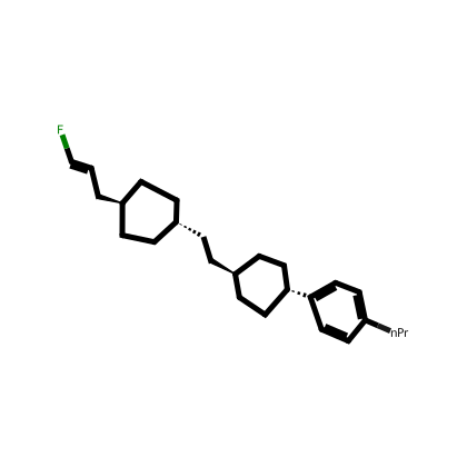 CCCc1ccc([C@H]2CC[C@H](CC[C@H]3CC[C@H](C/C=C/F)CC3)CC2)cc1